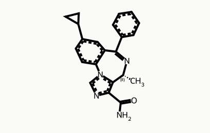 C[C@H]1N=C(c2ccccc2)c2cc(C3CC3)ccc2-n2cnc(C(N)=O)c21